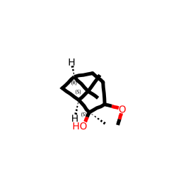 COC1CC[C@@H]2C[C@@H](C2(C)C)[C@]1(C)O